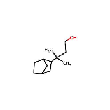 CC(C)(CCO)C1CC2CCC1C2